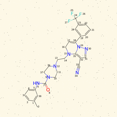 Cc1cccc(NC(=O)N2CCN(CCN3CC=C(c4cccc(C(F)(F)F)c4)n4ncc(C#N)c43)CC2)c1